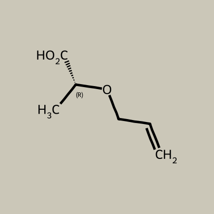 C=CCO[C@H](C)C(=O)O